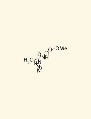 COCCO[C@H]1CC[C@@H](NC(=O)c2cc(C)nc(-n3ccnc3)n2)CC1